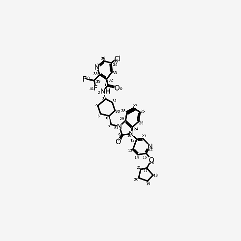 O=C(N[C@H]1CC[C@H](Cn2c(=O)n(-c3ccc(OC4CCCC4)nc3)c3ccc#cc32)CC1)c1cc(Cl)cnc1C(F)F